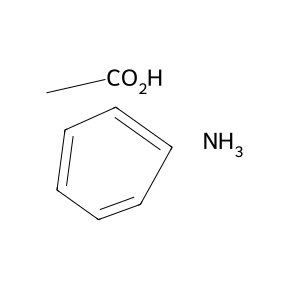 CC(=O)O.N.c1ccccc1